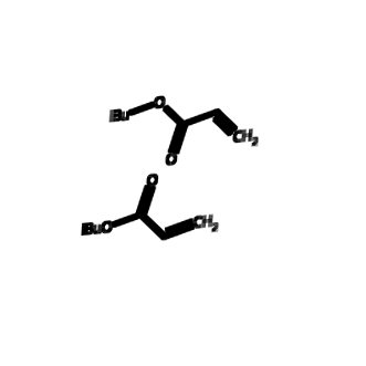 C=CC(=O)OC(C)CC.C=CC(=O)OCC(C)C